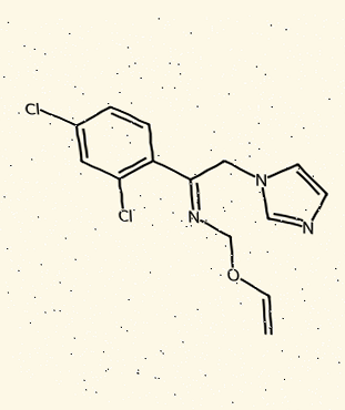 C=COC/N=C(\Cn1ccnc1)c1ccc(Cl)cc1Cl